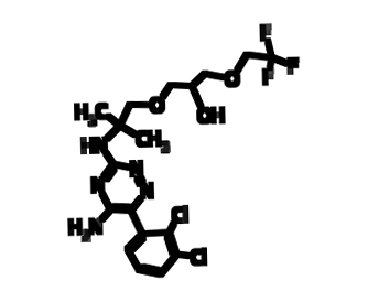 CC(C)(COCC(O)COCC(F)(F)F)Nc1nnc(-c2cccc(Cl)c2Cl)c(N)n1